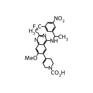 COc1cc2nc(C)nc(NC(C)c3cc([N+](=O)[O-])cc(C(F)(F)F)c3)c2cc1C1=CCN(C(=O)O)CC1